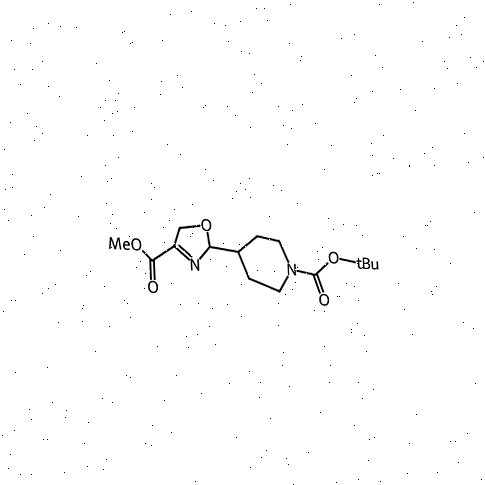 COC(=O)C1=NC(C2CCN(C(=O)OC(C)(C)C)CC2)OC1